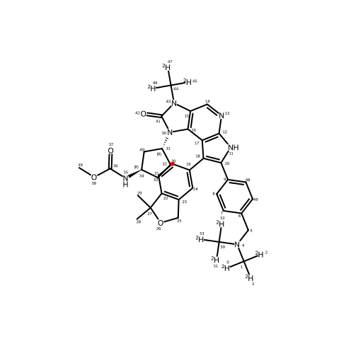 [2H]C([2H])([2H])N(Cc1ccc(-c2[nH]c3ncc4c(c3c2-c2ccc3c(c2)COC3(C)C)n([C@@H]2CC[C@@H](NC(=O)OC)C2)c(=O)n4C([2H])([2H])[2H])cc1)C([2H])([2H])[2H]